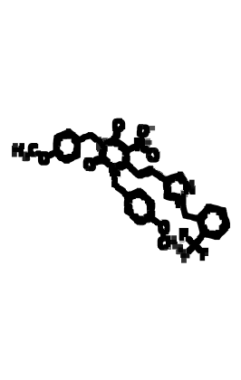 COc1ccc(Cn2c(/C=C/c3cnn(Cc4ccccc4C(F)(F)F)c3)c([N+](=O)[O-])c(=O)n(Cc3ccc(OC)cc3)c2=O)cc1